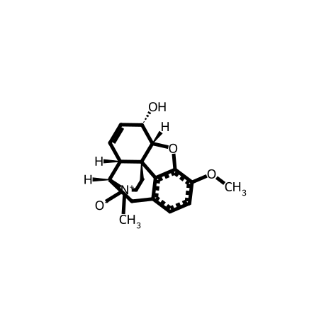 COc1ccc2c3c1O[C@H]1[C@@H](O)C=C[C@H]4[C@@H](C2)[N+](C)([O-])CC[C@@]341